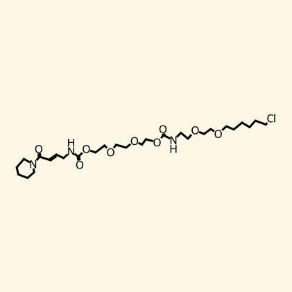 O=C(NC/C=C/C(=O)N1CCCCC1)OCCOCCOCCOC(=O)NCCOCCOCCCCCCCl